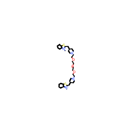 C[n+]1c(C=C2C=CN(CCOCCOCCOCCN3C=CC(=Cc4sc5ccccc5[n+]4C)C=C3)C=C2)sc2ccccc21